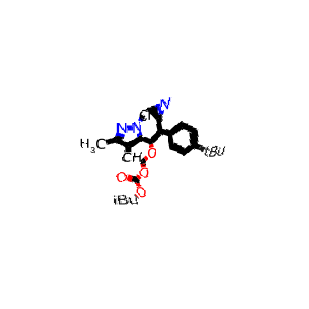 CCC(C)OC(=O)OCO/C(=C(\c1ccc(C(C)(C)C)cc1)C1C=N1)c1c(C)c(C)nn1C